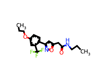 CCCNC(=O)Cc1cc(-c2ccc(OCCC)cc2C(F)(F)F)no1